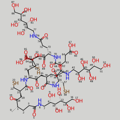 C[C@@H](CCC(=O)NC[C@H](O)[C@@H](O)[C@H](O)[C@H](O)CO)C(=O)C[C@@H](CS)C(=O)N[C@@H](CCC(=O)O)C(=O)C[C@@H](CCC(=O)NC[C@H](O)[C@@H](O)[C@H](O)[C@H](O)CO)C(=O)N[C@@H](CS)C(=O)C[C@@H](CCC(=O)O)C(=O)N[C@@H](CCC(=O)NC[C@H](O)[C@@H](O)[C@H](O)[C@H](O)CO)C(=O)C[C@@H](CS)C(=O)O